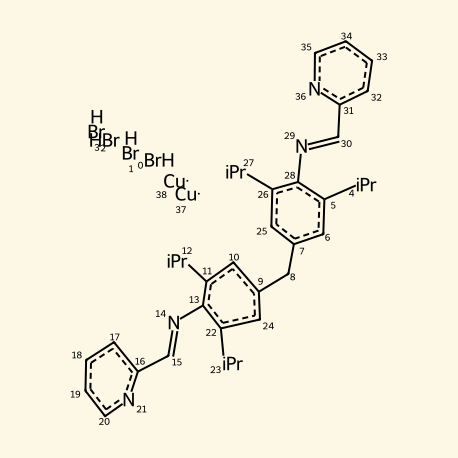 Br.Br.Br.Br.CC(C)c1cc(Cc2cc(C(C)C)c(N=Cc3ccccn3)c(C(C)C)c2)cc(C(C)C)c1N=Cc1ccccn1.[Cu].[Cu]